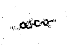 COc1ccc2c(c1)CCN(C1CCN(c3cc(Cl)c(C#N)cn3)CC1)C(=O)N2